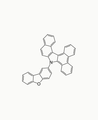 c1ccc2c(c1)ccc1c2c2c3ccccc3c3ccccc3c2n1-c1ccc2oc3ccccc3c2c1